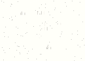 CC(C)N[PH](=O)OC(C)C